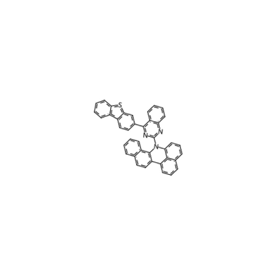 c1ccc2c3c(ccc2c1)-c1cccc2cccc(c12)N3c1nc(-c2ccc3c(c2)sc2ccccc23)c2ccccc2n1